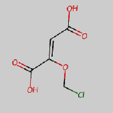 O=C(O)C=C(OCCl)C(=O)O